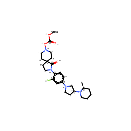 C[C@H]1CCCCN1[C@H]1CCN(c2ccc(N3CCC4(CCN(OC(=O)OC(C)(C)C)CC4)C3=O)c(F)c2)C1